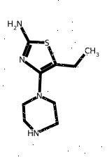 CCc1sc(N)nc1N1CCNCC1